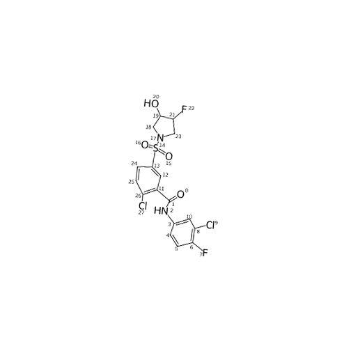 O=C(Nc1ccc(F)c(Cl)c1)c1cc(S(=O)(=O)N2CC(O)C(F)C2)ccc1Cl